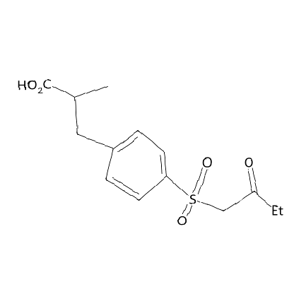 CCC(=O)CS(=O)(=O)c1ccc(CC(C)C(=O)O)cc1